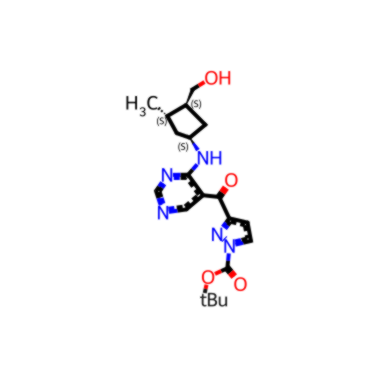 C[C@H]1C[C@H](Nc2ncncc2C(=O)c2ccn(C(=O)OC(C)(C)C)n2)C[C@@H]1CO